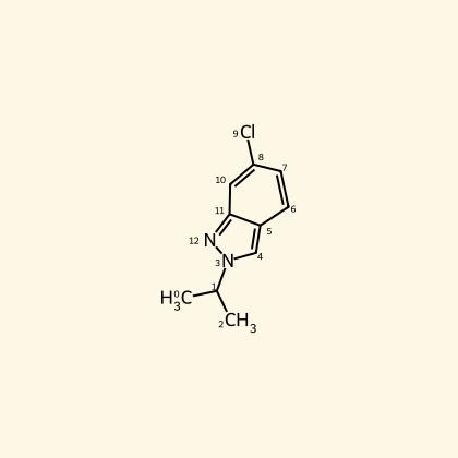 CC(C)n1cc2ccc(Cl)cc2n1